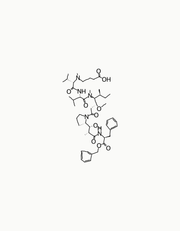 CC[C@H](C)[C@@H]([C@@H](CC(=O)N1CCC[C@H]1[C@H](OC)[C@@H](C)C(=O)N[C@@H](Cc1ccccc1)C(=O)OCc1ccccc1)OC)N(C)C(=O)[C@@H](NC(=O)[C@H](C(C)C)N(C)CCCC(=O)O)C(C)C